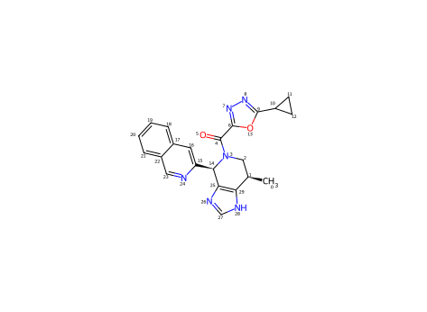 C[C@@H]1CN(C(=O)c2nnc(C3CC3)o2)[C@H](c2cc3ccccc3cn2)c2nc[nH]c21